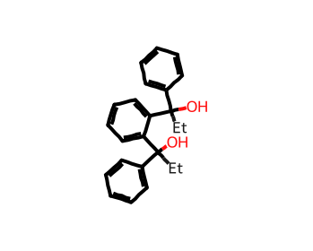 CCC(O)(c1ccccc1)c1ccccc1C(O)(CC)c1ccccc1